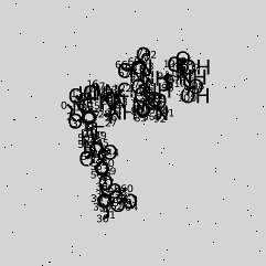 CC1COc2ccccc2N1C(=O)C(Cl)Cl.CCNc1nc(Cl)nc(NC(C)C)n1.CCc1ccc(COc2ccc(-n3c(=O)cc(C(F)(F)F)n(C)c3=O)cc2)c(OC(C)C(=O)OC)c1.COc1cc(OC)nc(NC(=O)NS(=O)(=O)c2ncccc2C(=O)N(C)C)n1.C[S+](C)C.O=C(O)CNCP(=O)([O-])O